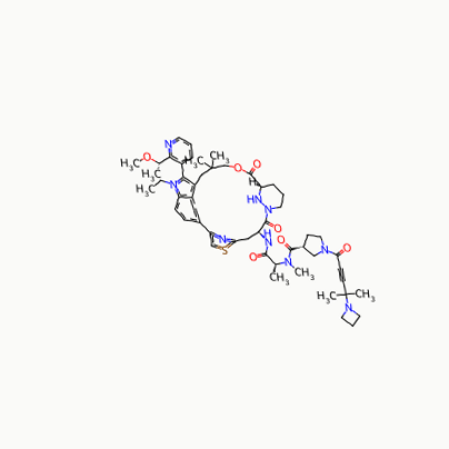 CCn1c(-c2cccnc2[C@H](C)OC)c2c3cc(ccc31)-c1csc(n1)C[C@H](NC(=O)[C@H](C)N(C)C(=O)[C@H]1CCN(C(=O)C#CC(C)(C)N3CCC3)C1)C(=O)N1CCC[C@H](N1)C(=O)OCC(C)(C)C2